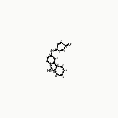 O=C1C=CC(=Nc2ccc3[nH]c4ccccc4c3c2)C=C1